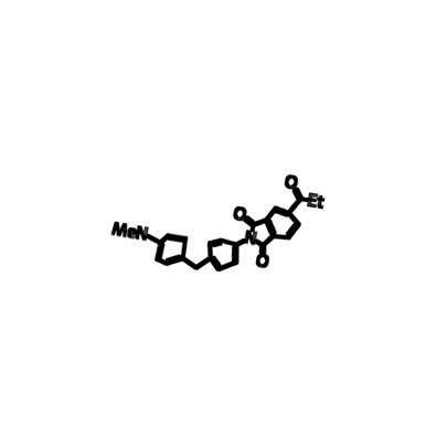 CCC(=O)c1ccc2c(c1)C(=O)N(c1ccc(Cc3ccc(NC)cc3)cc1)C2=O